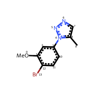 COc1cc(-n2nncc2C)ccc1Br